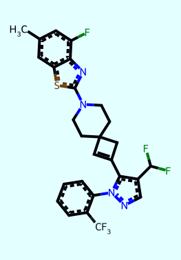 Cc1cc(F)c2nc(N3CCC4(C=C(c5c(C(F)F)cnn5-c5ccccc5C(F)(F)F)C4)CC3)sc2c1